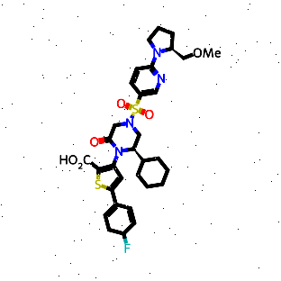 COC[C@@H]1CCCN1c1ccc(S(=O)(=O)N2CC(=O)N(c3cc(C4=CCC(F)C=C4)sc3C(=O)O)[C@H](C3CCCCC3)C2)cn1